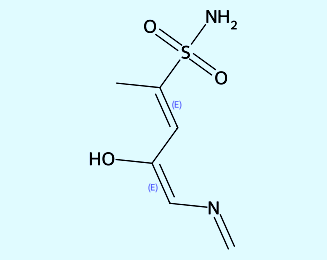 C=N/C=C(O)\C=C(/C)S(N)(=O)=O